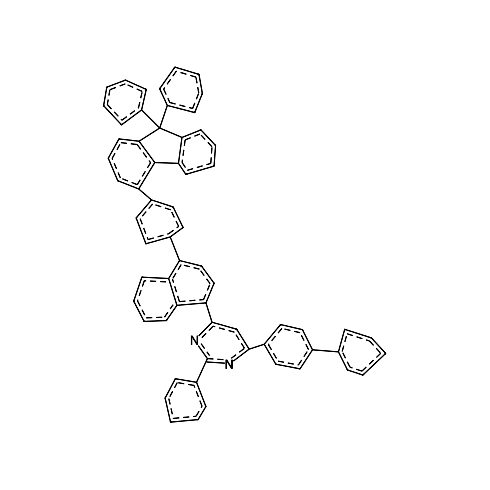 c1ccc(-c2ccc(-c3cc(-c4ccc(-c5ccc(-c6cccc7c6-c6ccccc6C7(c6ccccc6)c6ccccc6)cc5)c5ccccc45)nc(-c4ccccc4)n3)cc2)cc1